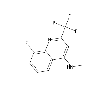 CNc1cc(C(F)(F)F)nc2c(F)cccc12